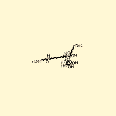 CCCCCCCCCCCCCC[C@@H](O)[C@@H](O)[C@H](CO[C@H]1O[C@H](CO)[C@H](O)[C@H](O)[C@H]1O)NC(=O)CCCCCCCCCCNC(=O)CCCCCCCCCCCCC